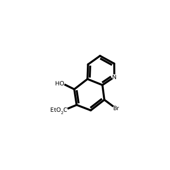 CCOC(=O)c1cc(Br)c2ncccc2c1O